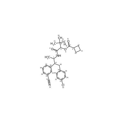 CC(NC(=O)C(OC(=O)C1CCC1)C(C)(C)C)C(Cc1ccc(Cl)cc1)c1cccc(C#N)c1